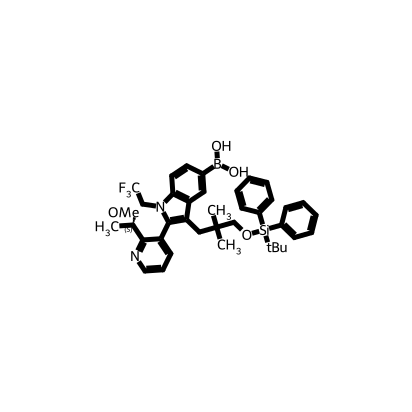 CO[C@@H](C)c1ncccc1-c1c(CC(C)(C)CO[Si](c2ccccc2)(c2ccccc2)C(C)(C)C)c2cc(B(O)O)ccc2n1CC(F)(F)F